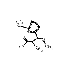 COc1cccc(C(OC)C(C)C(=O)O)c1